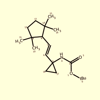 CC(C)(C)OC(=O)NC1(C=CC2C(C)(C)CCC2(C)C)CC1